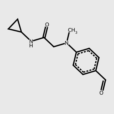 CN(CC(=O)NC1CC1)c1ccc(C=O)cc1